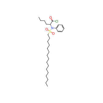 CCCCCCCCCCCCCCCCS(=O)(=O)N(c1ccccc1)C(CCCC)C(=O)Cl